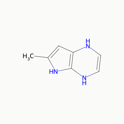 Cc1cc2c([nH]1)NC=CN2